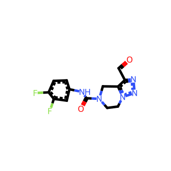 O=Cc1nnn2c1CN(C(=O)Nc1ccc(F)c(F)c1)CC2